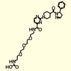 O=C(O)NCCOCCOCCOCCNC(=O)c1ccnc(N2CCC(C(=O)N3N=CCC3c3ccccc3)CC2)n1